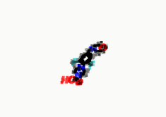 O=C(O)N1CCN(c2c(F)cc(CN3CCOCC3)cc2F)CC1